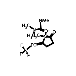 CNC(=[O+][N+]1(C)C(=O)CCC1=O)N(C)C.F[B-](F)(F)F